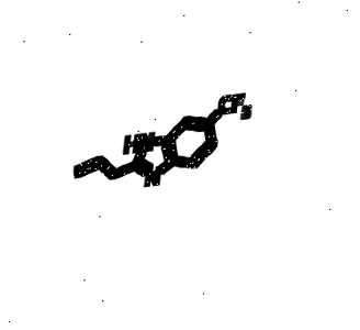 C=CCc1nc2ccc(C(F)(F)F)cc2[nH]1